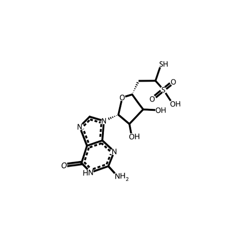 Nc1nc2c(ncn2[C@@H]2O[C@H](CC(S)S(=O)(=O)O)C(O)C2O)c(=O)[nH]1